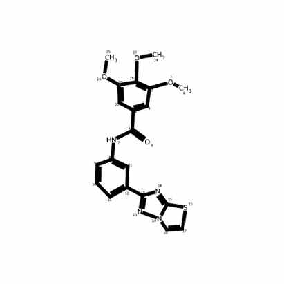 COc1cc(C(=O)Nc2cccc(-c3nc4sccn4n3)c2)cc(OC)c1OC